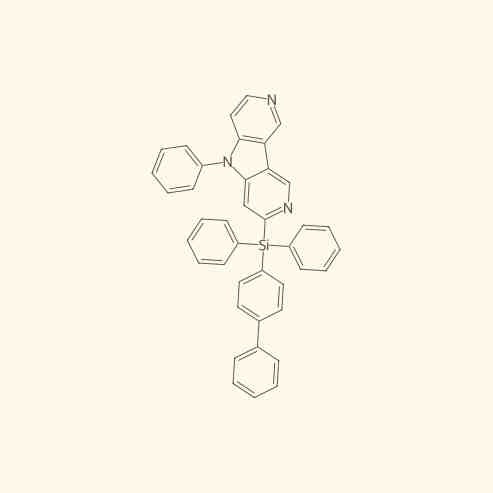 c1ccc(-c2ccc([Si](c3ccccc3)(c3ccccc3)c3cc4c(cn3)c3cnccc3n4-c3ccccc3)cc2)cc1